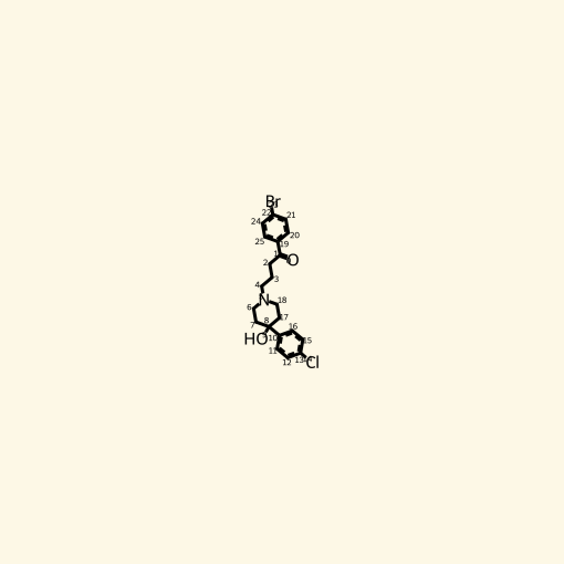 O=C(CCCN1CCC(O)(c2ccc(Cl)cc2)CC1)c1ccc(Br)cc1